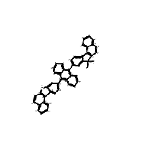 CC1(C)c2cc(-c3c4ccccc4c(-c4ccc5c(c4)oc4ccc6ccccc6c45)c4ccccc34)ccc2-c2c1ccc1ccccc21